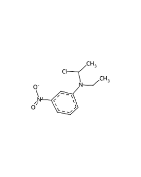 CCN(c1cccc([N+](=O)[O-])c1)C(C)Cl